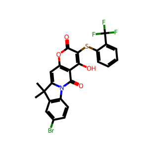 CC1(C)c2cc(Br)ccc2-n2c1cc1oc(=O)c(Sc3ccccc3C(F)(F)F)c(O)c1c2=O